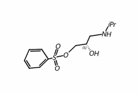 CC(C)NC[C@H](O)COS(=O)(=O)c1ccccc1